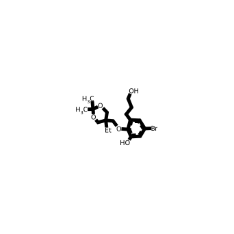 CCC1(COc2c(O)cc(Br)cc2CCCO)COC(C)(C)OC1